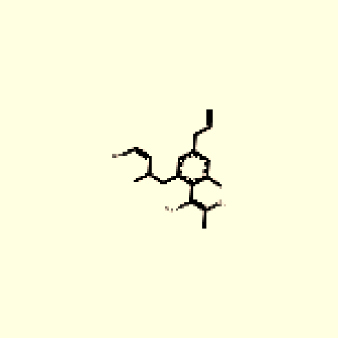 C=CCc1cc(C)c(/C(NC)=C(/C)CC)c(CC(C)/C=C\CCC)c1